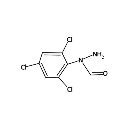 NN(C=O)c1c(Cl)cc(Cl)cc1Cl